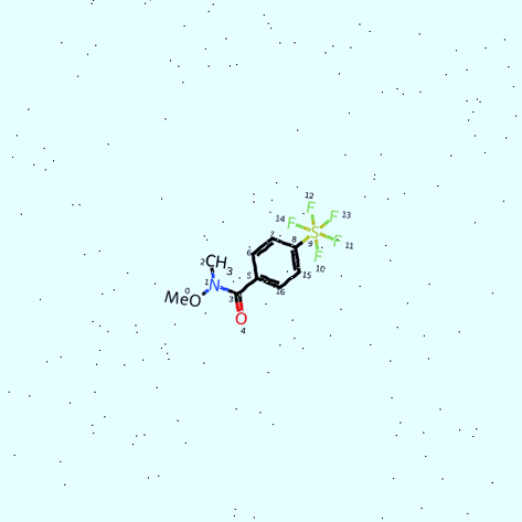 CON(C)C(=O)c1ccc(S(F)(F)(F)(F)F)cc1